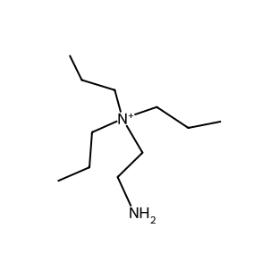 CCC[N+](CCC)(CCC)CCN